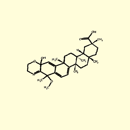 COC1(C)C2=CC=C3[C@@](C)(CC[C@@]4(C)[C@@H]5C[C@](C)(C(=O)O)CC[C@]5(C)CC[C@]34C)C2=CC2(O)OCCN=C21